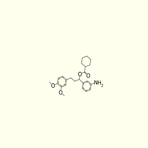 COc1ccc(CCC(OC(=O)C2CCCCC2)c2cccc(N)c2)cc1OC